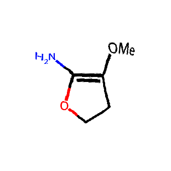 COC1=C(N)OCC1